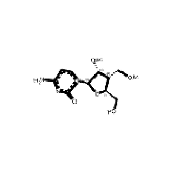 CC(=O)OC[C@H]1[C@@H](OC(C)=O)[C@H](n2ccc(N)nc2=O)O[C@@H]1CO